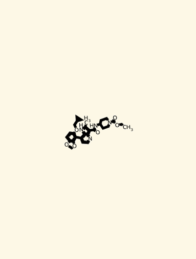 CCOC(=O)N1CCC(NC(=O)c2c(C)[nH]c3c(-c4c(OCC5CC5)ccc5c4OCO5)ccnc23)CC1